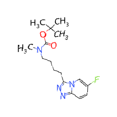 CN(CCCCc1nnc2ccc(F)cn12)C(=O)OC(C)(C)C